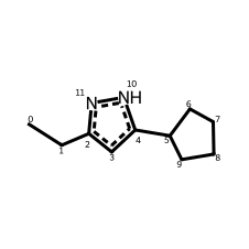 CCc1cc(C2CCCC2)[nH]n1